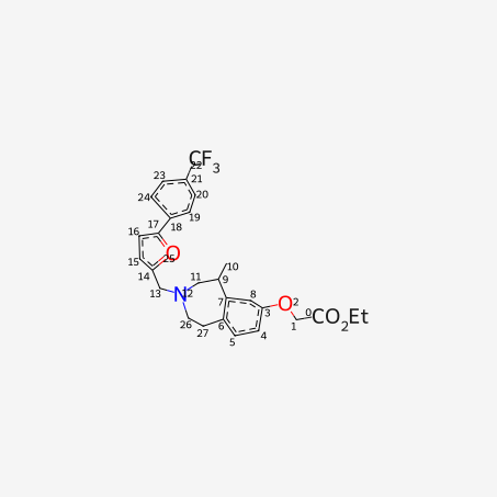 CCOC(=O)COc1ccc2c(c1)C(C)CN(Cc1ccc(-c3ccc(C(F)(F)F)cc3)o1)CC2